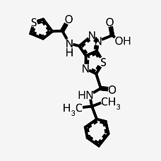 CC(C)(NC(=O)c1nc2c(NC(=O)c3ccsc3)nn(C(=O)O)c2s1)c1ccccc1